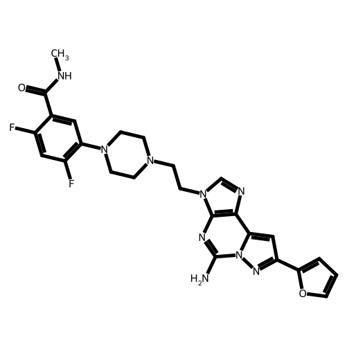 CNC(=O)c1cc(N2CCN(CCn3cnc4c3nc(N)n3nc(-c5ccco5)cc43)CC2)c(F)cc1F